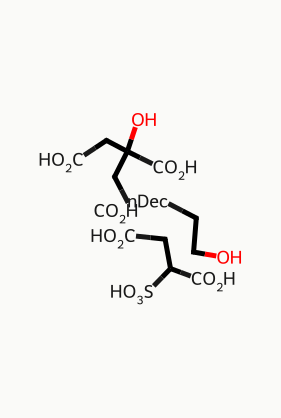 CCCCCCCCCCCCO.O=C(O)CC(C(=O)O)S(=O)(=O)O.O=C(O)CC(O)(CC(=O)O)C(=O)O